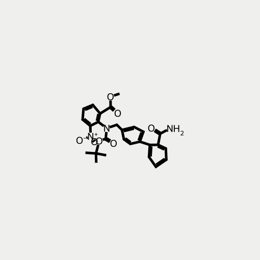 COC(=O)c1cccc([N+](=O)[O-])c1N(Cc1ccc(-c2ccccc2C(N)=O)cc1)C(=O)OC(C)(C)C